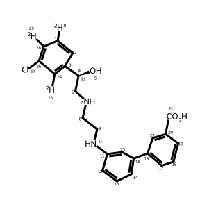 [2H]c1cc([C@@H](O)CNCCNc2cccc(-c3cccc(C(=O)O)c3)c2)c([2H])c(Cl)c1[2H]